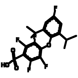 CC(C)c1cc(F)cc(C(C)C)c1Oc1c(F)c(F)c(S(=O)(=O)O)c(F)c1F